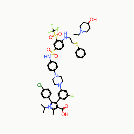 Cc1c(C(=O)O)c(-c2cc(F)cc(N3CCN(c4ccc(NS(=O)(=O)c5ccc(N[C@H](CCN6CCC(O)CC6)CSc6ccccc6)c(S(=O)(=O)C(F)(F)F)c5)cc4)CC3)c2)c(-c2ccc(Cl)cc2)n1C(C)C